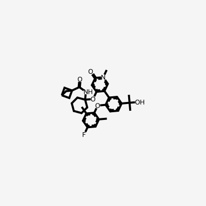 Cc1cc(F)cc(C)c1Oc1ccc(C(C)(C)O)cc1-c1cn(C)c(=O)cc1OC1(NC(=O)C23CC(C2)C3)CCCCC1